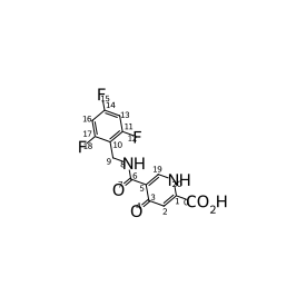 O=C(O)c1cc(=O)c(C(=O)NCc2c(F)cc(F)cc2F)c[nH]1